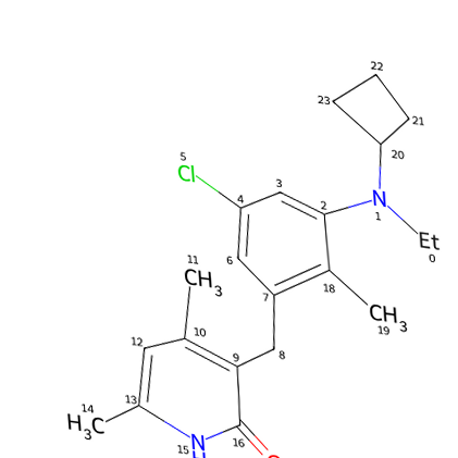 CCN(c1cc(Cl)cc(Cc2c(C)cc(C)[nH]c2=O)c1C)C1CCC1